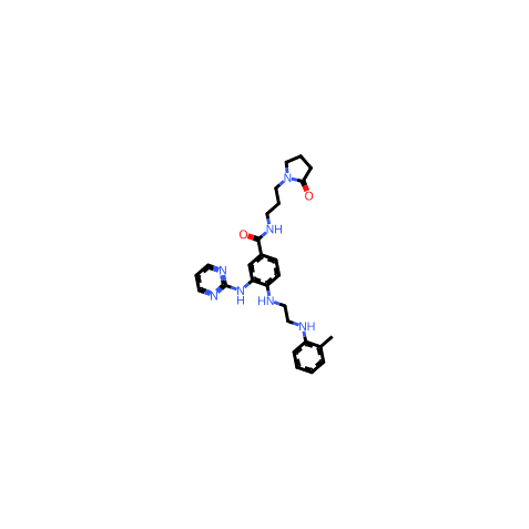 Cc1ccccc1NCCNc1ccc(C(=O)NCCCN2CCCC2=O)cc1Nc1ncccn1